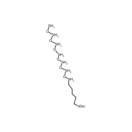 CCCCCCCCCCCCCCC[SiH2]O[SiH2]O[SiH2]O[SiH2]O[SiH2]O[SiH2]O[SiH3]